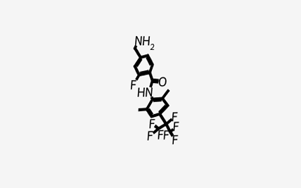 Cc1cc(C(F)(C(F)(F)F)C(F)(F)F)cc(C)c1NC(=O)c1ccc(CN)cc1F